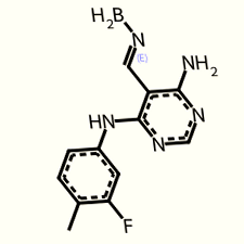 B/N=C/c1c(N)ncnc1Nc1ccc(C)c(F)c1